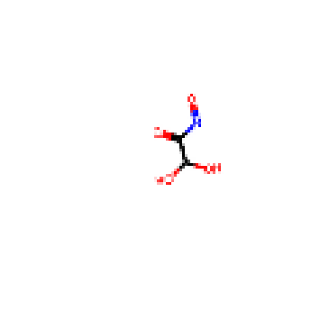 O=NC(=O)C(O)O